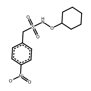 O=[N+]([O-])c1ccc(CS(=O)(=O)NOC2CCCCC2)cc1